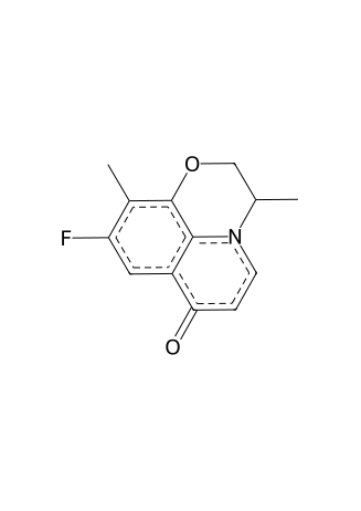 Cc1c(F)cc2c(=O)ccn3c2c1OCC3C